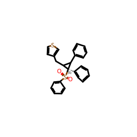 O=S(=O)(c1ccccc1)[C@@]1(c2ccccc2)C(Cc2ccsc2)C1c1ccccc1